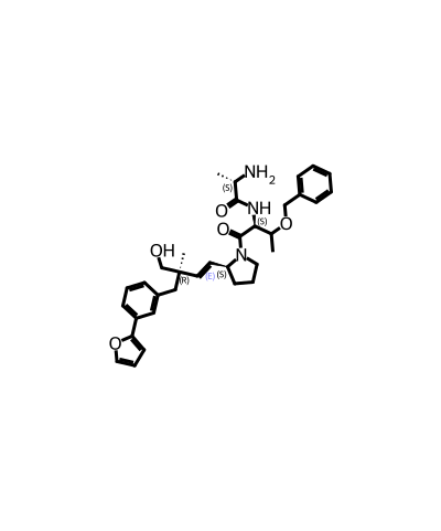 CC(OCc1ccccc1)[C@H](NC(=O)[C@H](C)N)C(=O)N1CCC[C@H]1/C=C/[C@](C)(CO)Cc1cccc(-c2ccco2)c1